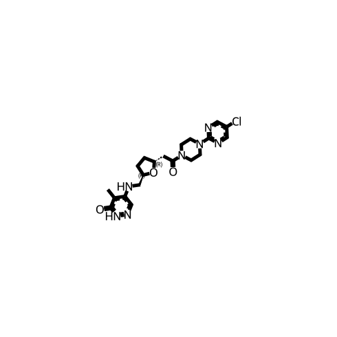 Cc1c(NC[C@H]2CC[C@H](CC(=O)N3CCN(c4ncc(Cl)cn4)CC3)O2)cn[nH]c1=O